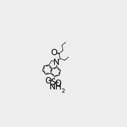 CCCC(=O)C(CC)N1Cc2cccc3c(S(N)(=O)=O)ccc1c23